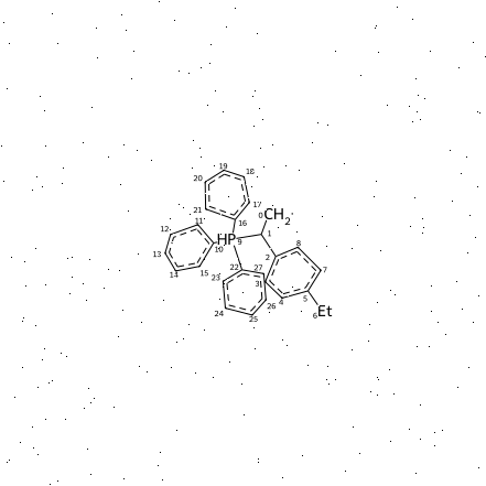 [CH2]C(c1ccc(CC)cc1)[PH](c1ccccc1)(c1ccccc1)c1ccccc1